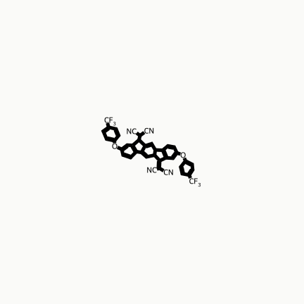 N#CC(C#N)=C1c2cc(Oc3ccc(C(F)(F)F)cc3)ccc2C2C=C3C(=CC12)c1ccc(Oc2ccc(C(F)(F)F)cc2)cc1C3C(C#N)C#N